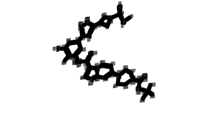 COC(=O)N1CC(c2nc(-c3cc(F)c(C)c(NC(=O)c4cnc5cc(N6CCN(C(=O)OC(C)(C)C)CC6)ccn45)c3)no2)C1